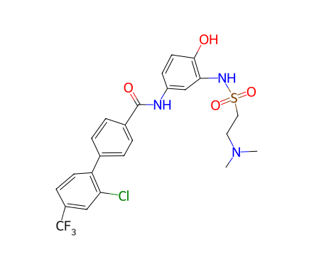 CN(C)CCS(=O)(=O)Nc1cc(NC(=O)c2ccc(-c3ccc(C(F)(F)F)cc3Cl)cc2)ccc1O